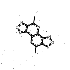 Cc1nc2c3nonc3c(C)nc2c2nonc12